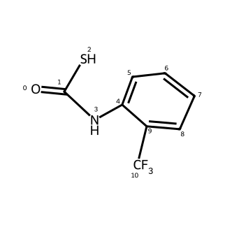 O=C(S)Nc1ccccc1C(F)(F)F